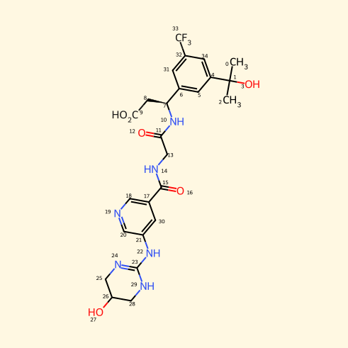 CC(C)(O)c1cc([C@H](CC(=O)O)NC(=O)CNC(=O)c2cncc(NC3=NCC(O)CN3)c2)cc(C(F)(F)F)c1